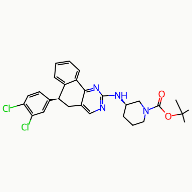 CC(C)(C)OC(=O)N1CCC[C@@H](Nc2ncc3c(n2)-c2ccccc2[C@H](c2ccc(Cl)c(Cl)c2)C3)C1